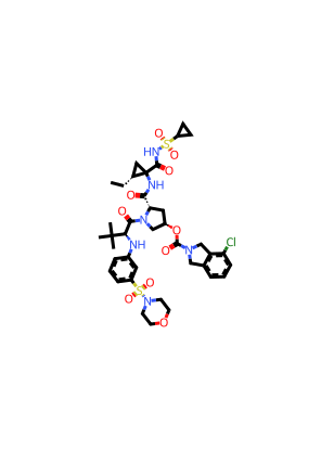 CC[C@@H]1CC1(NC(=O)[C@@H]1C[C@@H](OC(=O)N2Cc3cccc(Cl)c3C2)CN1C(=O)[C@@H](Nc1cccc(S(=O)(=O)N2CCOCC2)c1)C(C)(C)C)C(=O)NS(=O)(=O)C1CC1